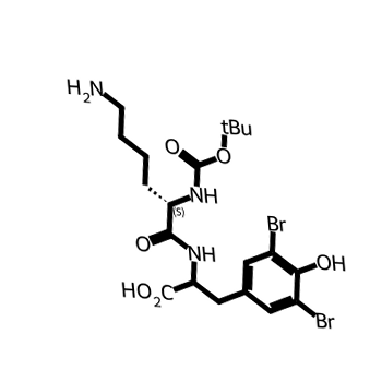 CC(C)(C)OC(=O)N[C@@H](CCCCN)C(=O)NC(Cc1cc(Br)c(O)c(Br)c1)C(=O)O